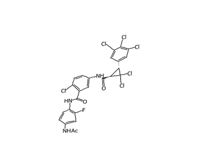 CC(=O)Nc1ccc(NC(=O)c2cc(NC(=O)[C@H]3[C@H](c4cc(Cl)c(Cl)c(Cl)c4)C3(Cl)Cl)ccc2Cl)c(F)c1